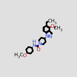 CCc1ccc2c(cnn2C2CCN(C(=O)N[C@H]3CC[C@H](OC)CC3)CC2)c1OC